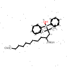 CCCCCCCCCC(CCCCCCCCC=O)CC(C)(C)[Si](O)(c1ccccc1)c1ccccc1